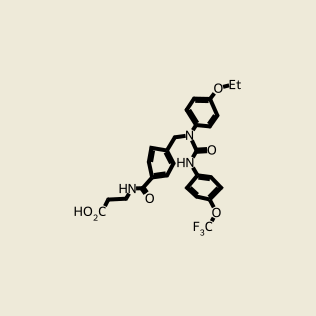 CCOc1ccc(N(Cc2ccc(C(=O)NCCC(=O)O)cc2)C(=O)Nc2ccc(OC(F)(F)F)cc2)cc1